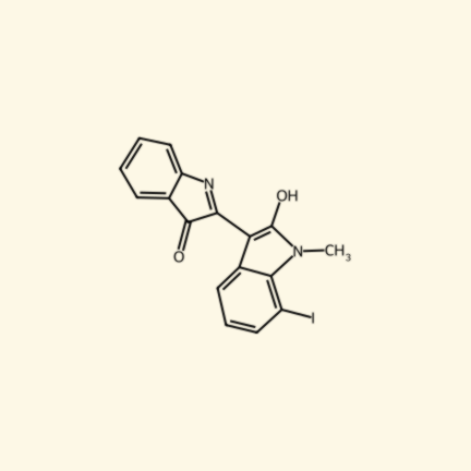 Cn1c(O)c(C2=Nc3ccccc3C2=O)c2cccc(I)c21